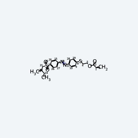 C=CC(=O)OCCSc1ccc(/N=N/c2ccc(S(=O)(=O)C[C@H](C)CC)cc2)cc1